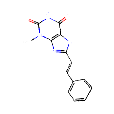 CCCn1c(=O)[nH]c(=O)c2[nH]c(C=Cc3ccccc3)nc21